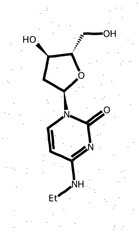 CCNc1ccn([C@H]2C[C@@H](O)[C@H](CO)O2)c(=O)n1